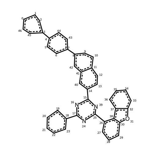 c1ccc(-c2ccc(-c3ccc4ccc(-c5nc(-c6ccccc6)nc(-c6cccc7oc8ccccc8c67)n5)cc4c3)cc2)cc1